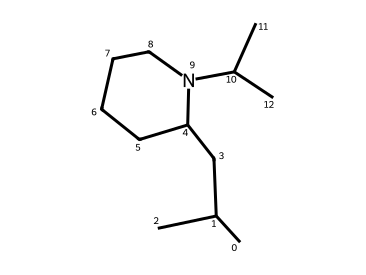 CC(C)CC1CCCCN1C(C)C